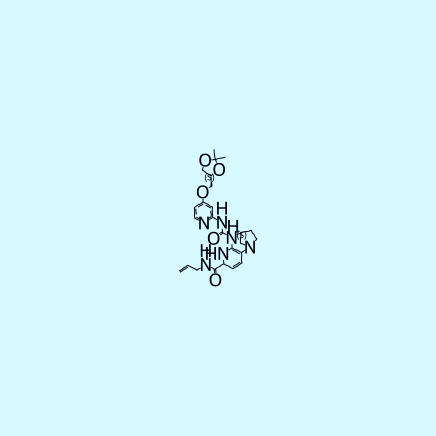 C=CCNC(=O)C1C=CC2=C(N1)N(C(=O)Nc1cc(OC[C@H]3COC(C)(C)O3)ccn1)[C@H]1CCN2C1